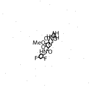 COc1c2n(cc(C(=O)NCc3ccc(F)cc3F)c1=O)CC1O[C@H]3C[C@H](C4C[C@@H]43)N1C2=O